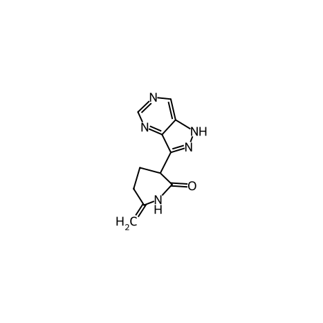 C=C1CCC(c2n[nH]c3cncnc23)C(=O)N1